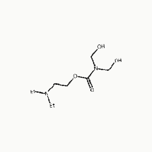 CCN(CC)CCOC(=O)N(CO)CO